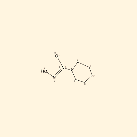 [O-]/[N+](=N\O)C1CCCCC1